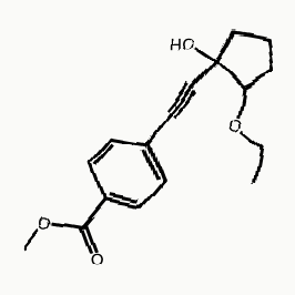 CCOC1CCCC1(O)C#Cc1ccc(C(=O)OC)cc1